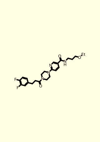 CCOCCCNC(=O)c1ccc(N2CCN(C(=O)CCc3ccc(F)c(F)c3)CC2)nc1